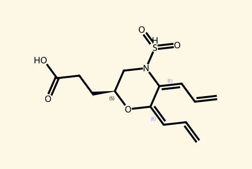 C=C/C=C1/O[C@@H](CCC(=O)O)CN([SH](=O)=O)/C1=C/C=C